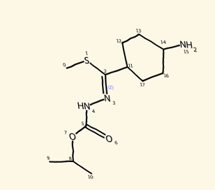 CS/C(=N\NC(=O)OC(C)C)C1CCC(N)CC1